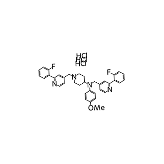 COc1ccc(N(Cc2ccnc(-c3ccccc3F)c2)C2CCN(Cc3ccnc(-c4ccccc4F)c3)CC2)cc1.Cl.Cl.Cl